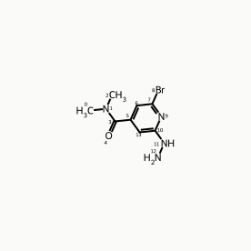 CN(C)C(=O)c1cc(Br)nc(NN)c1